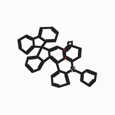 Clc1cc(-c2ccccc2N(c2ccccc2)c2ccccc2)c2c(c1)C1(c3ccccc3-c3ccccc31)c1ccccc1-2